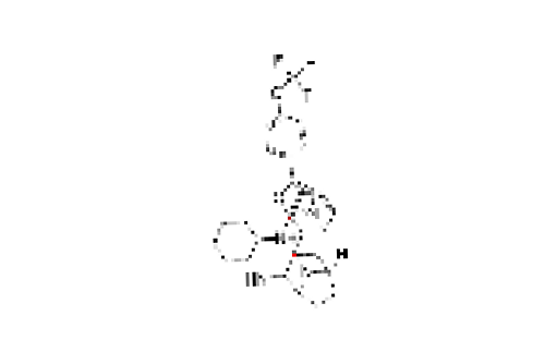 FC(F)(F)Oc1ccc(-c2cnc(N[C@@H]3CCCC[C@H]3NC3CC[C@H]4CCC3N4Cc3ccccc3)o2)cc1